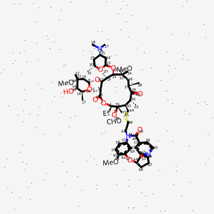 CC[C@H]1OC(=O)[C@H](C)[C@@H](O[C@H]2C[C@@](C)(OC)[C@@H](O)[C@H](C)O2)[C@H](C)[C@@H](OC2C[C@@H](N(C)C)C[C@@H](C)O2)[C@](C)(OC)C[C@@H](C)C(=O)[C@H](C)[C@@H](CSCCN(C(=O)c2ccncc2)c2ccc(OC)c(OC3CCCC3)c2)[C@]1(C)OC=O